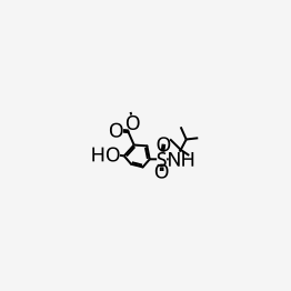 COC(=O)c1cc(S(=O)(=O)NC(C)(C)C(C)C)ccc1O